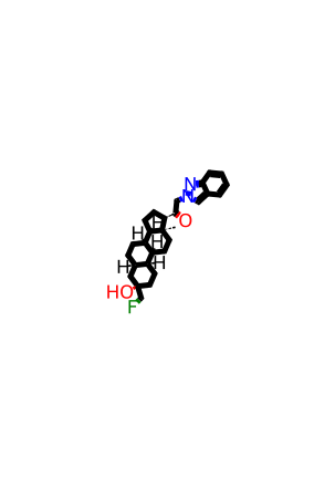 C[C@]12CC[C@H]3[C@@H](CC[C@@H]4C[C@@](O)(CF)CC[C@@H]43)[C@@H]1CC[C@@H]2C(=O)Cn1cc2ccccc2n1